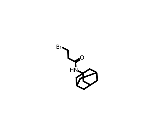 O=C(CCBr)NC12CC3CC(CC(C3)C1)C2